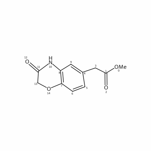 COC(=O)Cc1ccc2c(c1)NC(=O)CO2